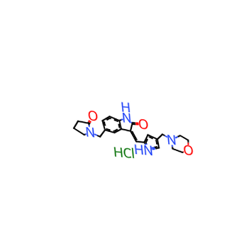 Cl.O=C1Nc2ccc(CN3CCCC3=O)cc2/C1=C/c1cc(CN2CCOCC2)c[nH]1